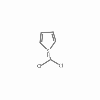 ClC(Cl)[SiH]1C=CC=C1